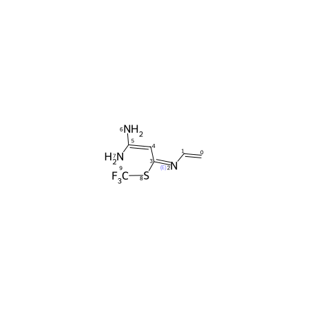 C=C/N=C(\C=C(N)N)SC(F)(F)F